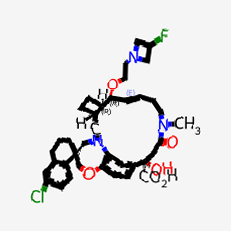 CN1CC/C=C/[C@H](OCCN2CC(F)C2)[C@@H]2CC[C@H]2CN2C[C@@]3(CCCc4cc(Cl)ccc43)COc3ccc(cc32)[C@@](O)(C(=O)O)CC1=O